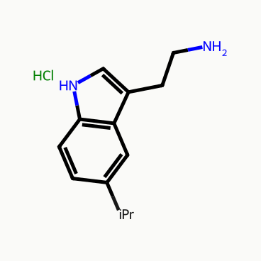 CC(C)c1ccc2[nH]cc(CCN)c2c1.Cl